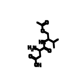 CC(=O)OCC(NC(=O)C(N)CC(=O)O)C(C)C